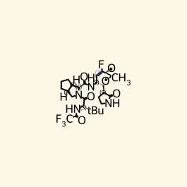 CC(C)(C)[C@H](NC(=O)C(F)(F)F)C(=O)N1C[C@H]2CCC[C@H]2[C@H]1C(=O)N[C@H](/C=C(/F)S(C)(=O)=O)C[C@@H]1CCNC1=O